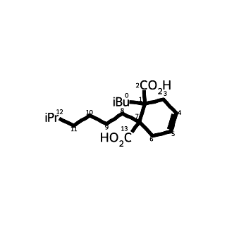 CCC(C)C1(C(=O)O)CC=CCC1(CCCCC(C)C)C(=O)O